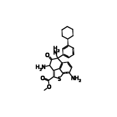 COC(=O)c1sc2c(N)ccc3c2c1C(N)C(=O)C3(N)c1cccc(C2CCCCC2)c1